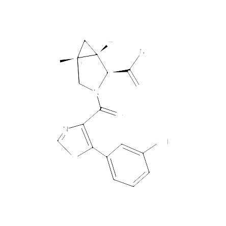 Cc1cccc(-c2scnc2C(=O)N2C[C@@H]3C[C@@H]3[C@H]2C(N)=O)c1